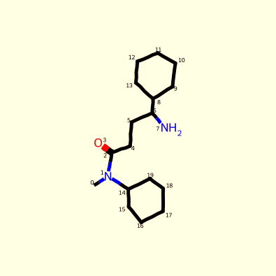 CN(C(=O)CCC(N)C1CCCCC1)C1CCCCC1